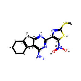 CSc1nc(-c2nc(N)c3c4c([se]c3n2)CCCC4)c([N+](=O)[O-])s1